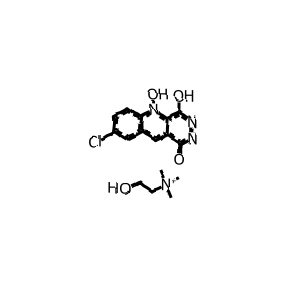 C[N+](C)(C)CCO.O=c1nnc(O)c2n(O)c3ccc(Cl)cc3cc1-2